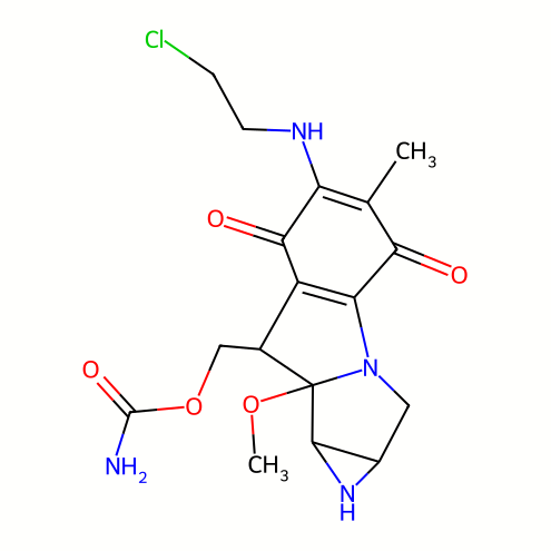 COC12C(COC(N)=O)C3=C(C(=O)C(C)=C(NCCCl)C3=O)N1CC1NC12